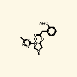 COc1ccccc1CC(=O)OC1CN(C)C[N+]1([O-])c1nnc(C)s1